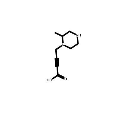 CC1CNCCN1CC#CC(=O)O